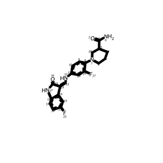 NC(=O)C1CCCN(c2ccc(NC=C3C(=O)Nc4ccc(F)cc43)cc2F)C1